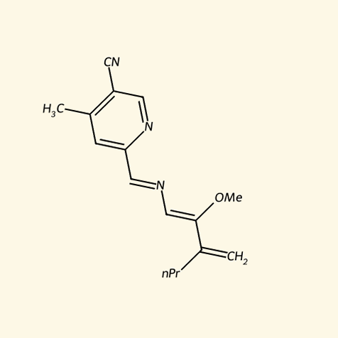 C=C(CCC)/C(=C/N=C/c1cc(C)c(C#N)cn1)OC